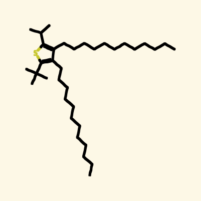 CCCCCCCCCCCCc1c(C(C)C)sc(C(C)(C)C)c1CCCCCCCCCCCC